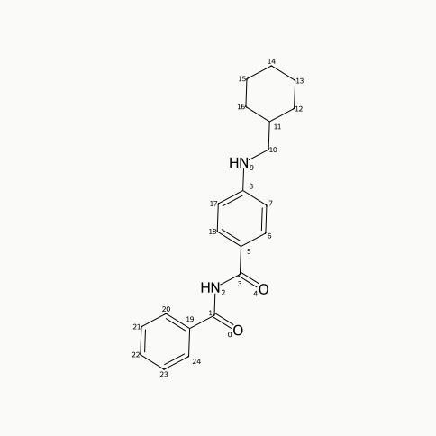 O=C(NC(=O)c1ccc(NCC2CCCCC2)cc1)c1ccccc1